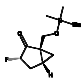 CC(C)(C)[Si](C)(C)OC[C@@]12C[C@@H]1C[C@H](F)C2=O